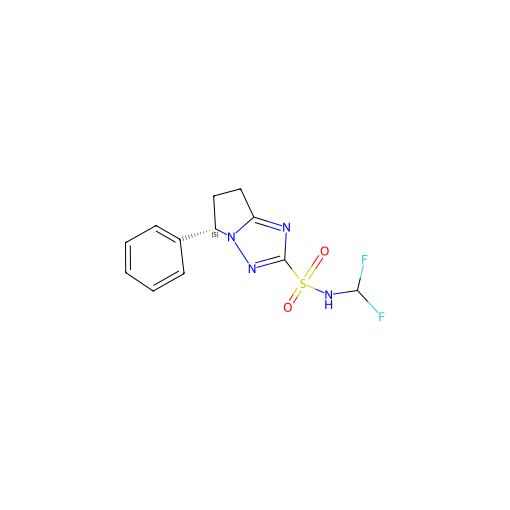 O=S(=O)(NC(F)F)c1nc2n(n1)[C@H](c1ccccc1)CC2